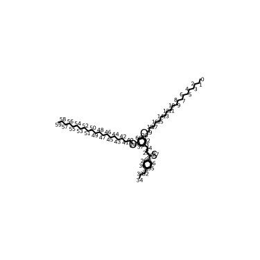 CCCCCCCCCCCCCCCCCCCCOc1cc(C=CC(=S)c2ccc(CCC)cc2)cc(OCCCCCCCCCCCCCCCCCCCC)c1